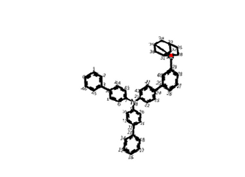 c1ccc(-c2ccc(N(c3ccc(-c4ccccc4)cc3)c3ccc(-c4cccc(N5C6CC7CC(C6)CC5C7)c4)cc3)cc2)cc1